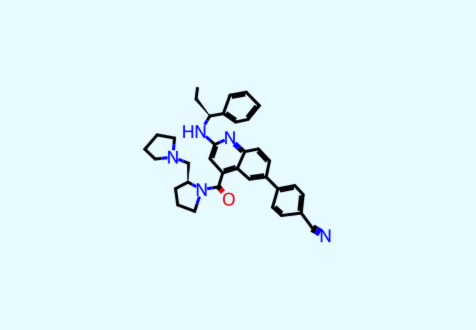 CC[C@H](Nc1cc(C(=O)N2CCC[C@H]2CN2CCCC2)c2cc(-c3ccc(C#N)cc3)ccc2n1)c1ccccc1